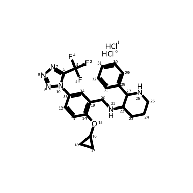 Cl.Cl.FC(F)(F)c1nnnn1-c1ccc(OC2CC2)c(CNC2CCCNC2c2ccccc2)c1